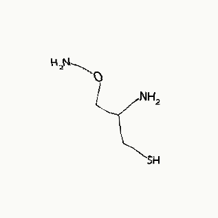 NOCC(N)CS